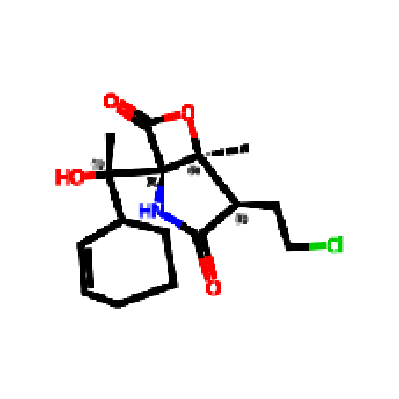 C[C@](O)(C1C=CCCC1)[C@@]12NC(=O)[C@H](CCCl)[C@]1(C)OC2=O